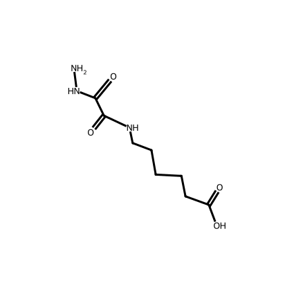 NNC(=O)C(=O)NCCCCCC(=O)O